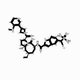 CC[C@@H]1CC[C@H](NC(=O)c2cc3cc(C(F)P(=O)(O)O)ccc3s2)C(=O)N2[C@H](CC[C@H]2C(=O)N2CC(c3cnccc3OC)C2)C1